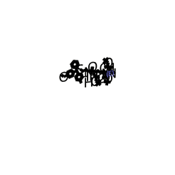 C/N=C(\N(C)C(=O)OC(C)(C)C)N(CCCC(NC(=O)OC(C)(C)C)C(=O)NCCSC(c1ccccc1)(c1ccc(C)cc1)c1ccc(OC)cc1)C(=O)OC(C)(C)C